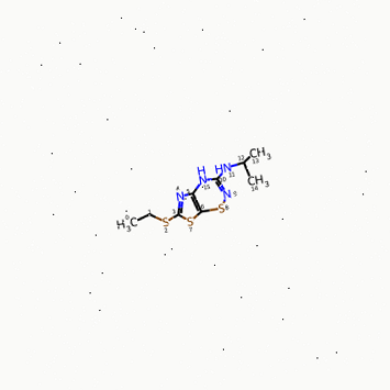 CCSc1nc2c(s1)SN=C(NC(C)C)N2